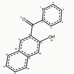 O=C(c1ccccn1)c1cc2ccccc2cc1O